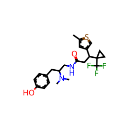 Cc1cc(C(CC(=O)NCC(Cc2ccc(O)cc2)N(C)C)C2(C(F)(F)F)CC2)cs1